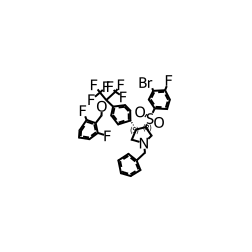 O=S(=O)(c1ccc(F)c(Br)c1)[C@H]1CN(Cc2ccccc2)C[C@@H]1c1ccc(C(OCc2c(F)cccc2F)(C(F)(F)F)C(F)(F)F)cc1